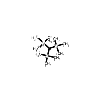 C[Si](C)(C)C([Si](C)(C)C)[Si](C)(C)[SiH3]